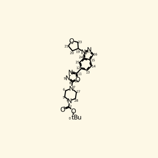 CC(C)(C)OC(=O)N1CCN(c2nnc(-c3ccc4cnn(C5CCOC5)c4c3)o2)CC1